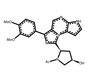 COc1ccc(-c2nc([C@H]3C[C@@H](O)CN3C(C)=O)n3c2cnc2[nH]ccc23)cc1OC